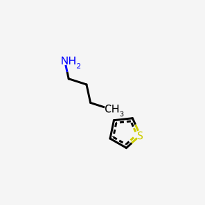 CCCCN.c1ccsc1